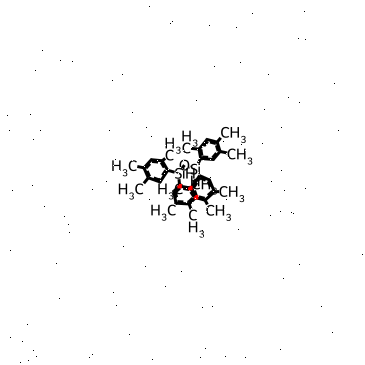 Cc1cc(C)c([SiH](O[SiH](c2cc(C)c(C)cc2C)c2cc(C)c(C)cc2C)c2cc(C)c(C)cc2C)cc1C